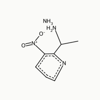 CC(N)c1ncccc1[N+](=O)[O-].N